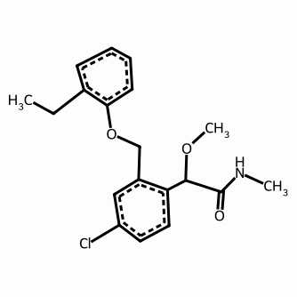 CCc1ccccc1OCc1cc(Cl)ccc1C(OC)C(=O)NC